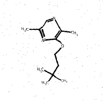 Cc1cnc(C)c(OCCC(C)(C)C)n1